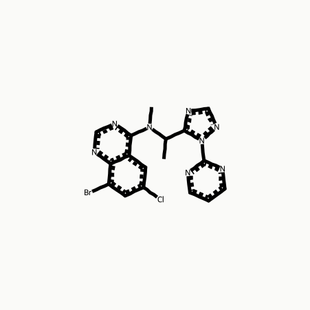 CC(c1ncnn1-c1ncccn1)N(C)c1ncnc2c(Br)cc(Cl)cc12